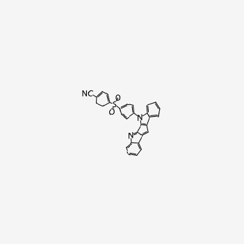 N#CC1=CC=C(S(=O)(=O)c2ccc(-n3c4c(c5ccccc53)C=C3C4=Nc4ccccc43)cc2)CC1